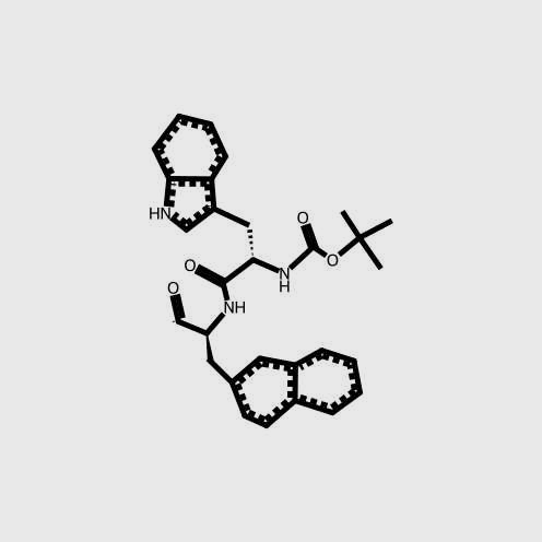 CC(C)(C)OC(=O)N[C@@H](Cc1c[nH]c2ccccc12)C(=O)N[C@H]([C]=O)Cc1ccc2ccccc2c1